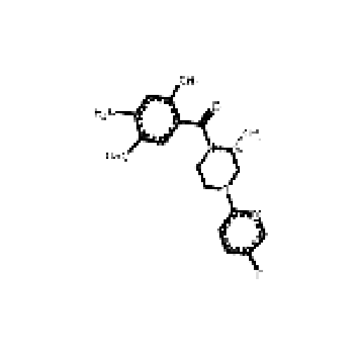 Cc1cc(C)c(C(=O)N2CCN(c3ccc(F)cn3)C[C@H]2C)cc1C=O